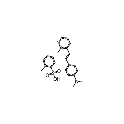 Cc1ccccc1S(=O)(=O)O.Cc1ncccc1C=Cc1ccc(N(C)C)cc1